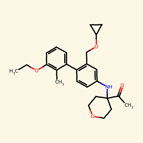 CCOc1cccc(-c2ccc(NC3(C(C)=O)CCOCC3)cc2COC2CC2)c1C